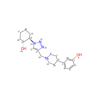 Oc1cccc(C2CCN(Cc3cn([C@@H]4CCCC[C@H]4O)nn3)CC2)c1